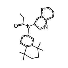 CCC(=O)N(c1ccc2c(c1)C(C)(C)CCC2(C)C)c1cnc2ccccc2c1